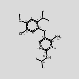 COc1cc(C(C)C)c(Cc2cnc(NC(C)C)nc2N)cc1Cl